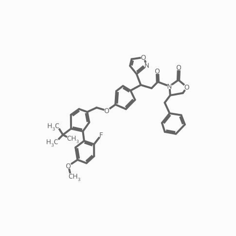 COc1ccc(F)c(-c2cc(COc3ccc(C(CC(=O)N4C(=O)OCC4Cc4ccccc4)c4ccon4)cc3)ccc2C(C)(C)C)c1